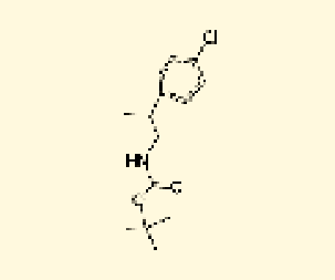 [CH2]C(CNC(=O)OC(C)(C)C)c1ccc(Cl)cc1